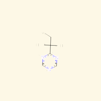 CC(C)(C)CC(C)(C)c1n[c]n[c]n1